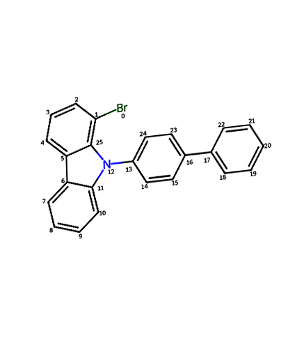 Brc1cccc2c3ccccc3n(-c3ccc(-c4ccccc4)cc3)c12